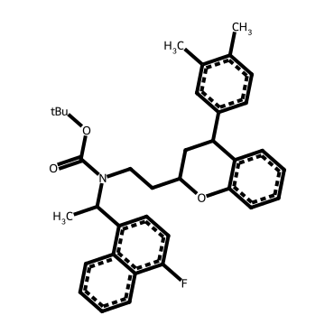 Cc1ccc(C2CC(CCN(C(=O)OC(C)(C)C)C(C)c3ccc(F)c4ccccc34)Oc3ccccc32)cc1C